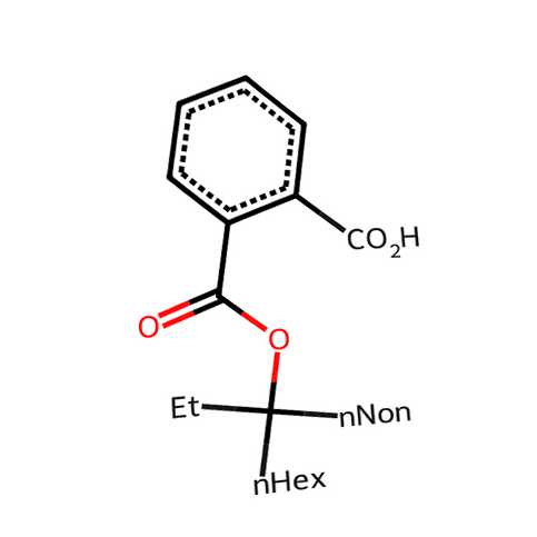 CCCCCCCCCC(CC)(CCCCCC)OC(=O)c1ccccc1C(=O)O